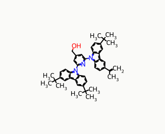 C=C(C)c1ccc2c(c1)c1cc(C(C)(C)C)ccc1n2-c1cc(CO)cc(-n2c3ccc(C(C)(C)C)cc3c3cc(C(C)(C)C)ccc32)n1